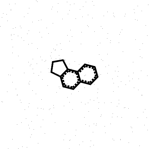 [CH]1CCc2ccc3ccccc3c21